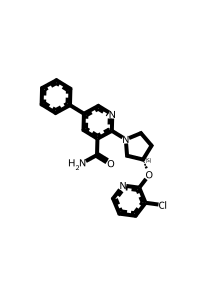 NC(=O)c1cc(-c2ccccc2)cnc1N1CC[C@H](Oc2ncccc2Cl)C1